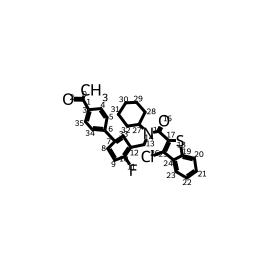 CC(=O)c1ccc(-c2ccc(F)c(CN(C(=O)c3sc4ccccc4c3Cl)C3CCCCC3)c2)cc1